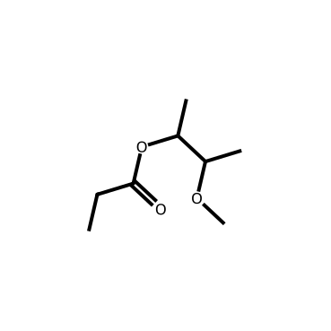 CCC(=O)OC(C)C(C)OC